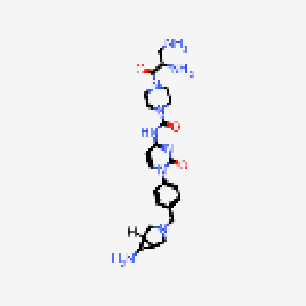 NCC(N)C(=O)N1CCN(C(=O)Nc2ccn(-c3ccc(CN4CC5C(N)[C@@H]5C4)cc3)c(=O)n2)CC1